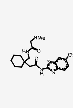 CNCC(=O)NCC1(CC(=O)Nc2nc3ccc(C)cc3s2)CCCCC1